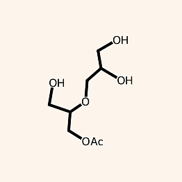 CC(=O)OCC(CO)OCC(O)CO